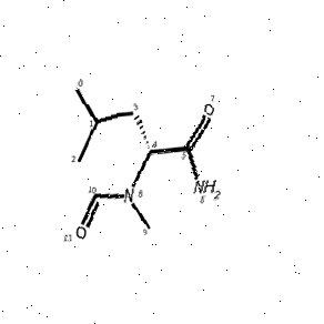 CC(C)C[C@H](C(N)=O)N(C)C=O